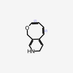 C1=C2/C=C\C=C/OCC2=CNC1